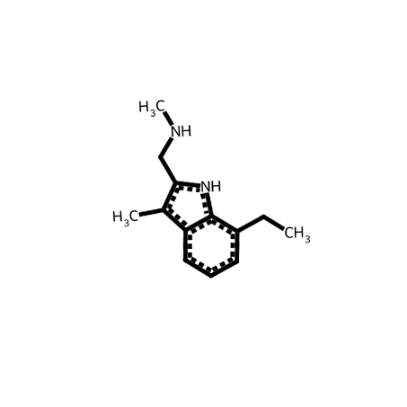 CCc1cccc2c(C)c(CNC)[nH]c12